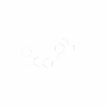 CC(C)(C)NC(=O)c1c[nH]c2ncc(Nc3ccc(C=C(C#N)C(=O)N4CCNCC4)cc3)nc12